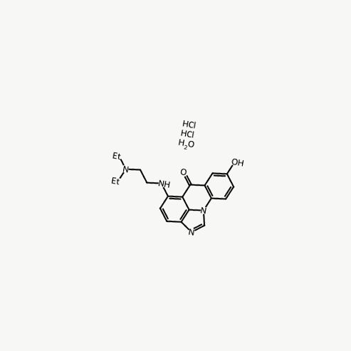 CCN(CC)CCNc1ccc2ncn3c4ccc(O)cc4c(=O)c1c23.Cl.Cl.O